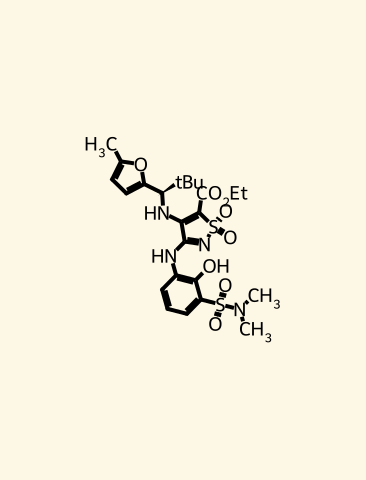 CCOC(=O)C1=C(N[C@@H](c2ccc(C)o2)C(C)(C)C)C(Nc2cccc(S(=O)(=O)N(C)C)c2O)=NS1(=O)=O